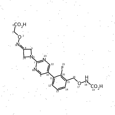 O=C(O)CON=C1CN(c2ncc(-c3cccc(CONC(=O)O)c3F)cn2)C1